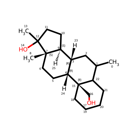 CC1C[C@@H]2[C@@H](CC[C@@]3(C)[C@H]2CCC3(C)O)[C@@]2(CO)CCCCC12